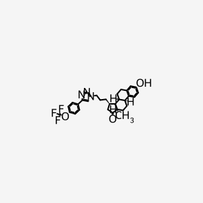 C[C@]12CC[C@@H]3c4ccc(O)cc4CC[C@H]3[C@@H]1[C@H](CCCn1cc(-c3ccc(OC(F)(F)F)cc3)nn1)CC2=O